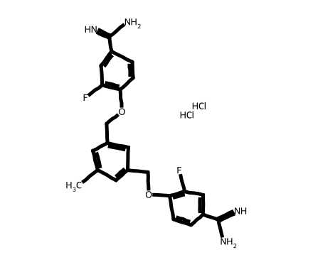 Cc1cc(COc2ccc(C(=N)N)cc2F)cc(COc2ccc(C(=N)N)cc2F)c1.Cl.Cl